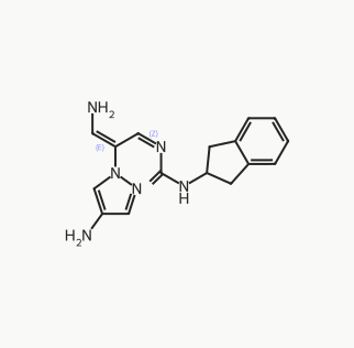 C=C(/N=C\C(=C/N)n1cc(N)cn1)NC1Cc2ccccc2C1